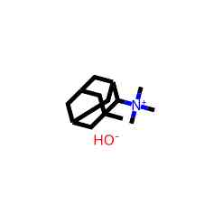 CC12CC3CC(CC(C3)C1[N+](C)(C)C)C2.[OH-]